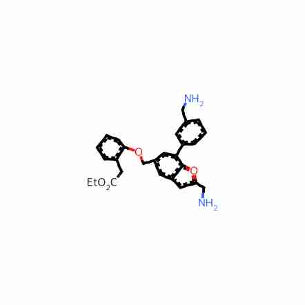 CCOC(=O)Cc1ccccc1OCc1cc(-c2cccc(CN)c2)c2oc(CN)cc2c1